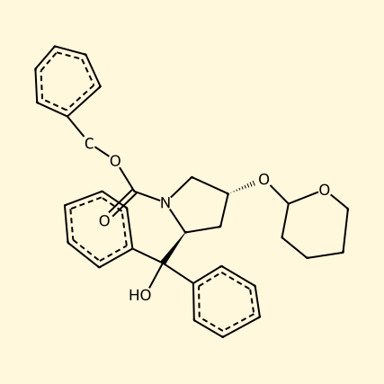 O=C(OCc1ccccc1)N1C[C@H](OC2CCCCO2)C[C@H]1C(O)(c1ccccc1)c1ccccc1